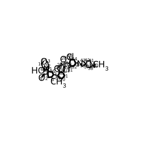 Cc1cc(C(=O)O)c(N2C3CCC2COC3)cc1-c1cccc2c1OCN(C(=O)c1c(Cl)cc(N3CC4(CCN(C)CC4)C3)cc1Cl)C2